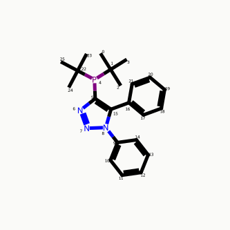 CC(C)(C)P(c1nnn(-c2ccccc2)c1-c1ccccc1)C(C)(C)C